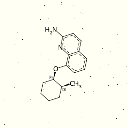 C[C@H]1CCCC[C@H]1Oc1cccc2ccc(N)nc12